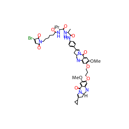 COc1cc2c(cc1OCCCOc1cc3c(cc1OC)C(=O)N1C=C(C4CC4)C[C@@H]1C=N3)N=CC1CC(c3ccc(NC(=O)C(C)NC(=O)C(NC(=O)CCCCCN4C(=O)C=C(Br)C4=O)C(C)C)cc3)=CN1C2=O